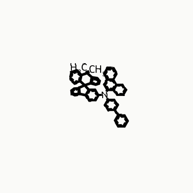 CC1(C)c2ccccc2C2(c3ccccc3-c3ccc(N(c4ccc(-c5ccccc5)cc4)c4cc5ccccc5c5ccccc45)cc32)c2ccccc21